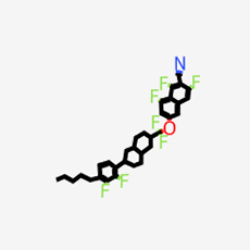 CCCCCc1ccc(C2CCC3CC(C(F)(F)Oc4cc(F)c5c(F)c(C#N)c(F)cc5c4)CCC3C2)c(F)c1F